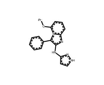 CC(C)Oc1cccc2nc(Nc3cc[nH]n3)c(-c3ccccc3)n12